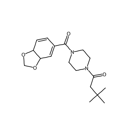 CC(C)(C)CC(=O)N1CCN(C(=O)C2=CC3OCOC3C=C2)CC1